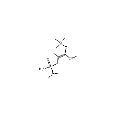 COC(O[Si](C)(C)C)=C(C)CP(N)(=O)N(C)C